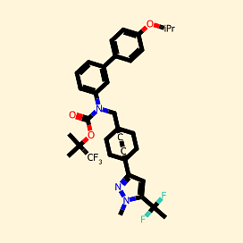 CC(C)Oc1ccc(-c2cccc(N(CC34CCC(c5cc(C(C)(F)F)n(C)n5)(CC3)CC4)C(=O)OC(C)(C)C(F)(F)F)c2)cc1